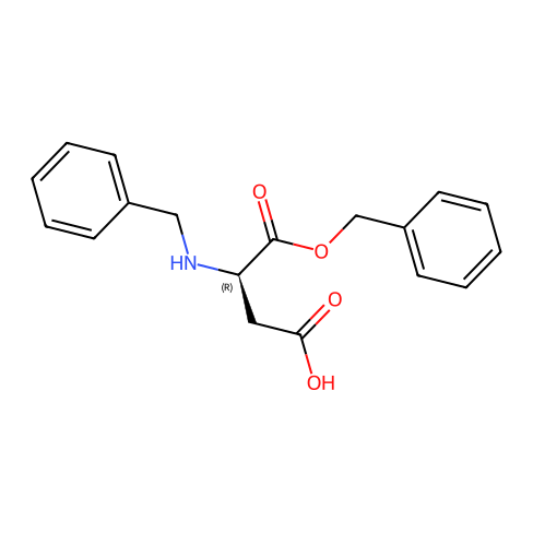 O=C(O)C[C@@H](NCc1ccccc1)C(=O)OCc1ccccc1